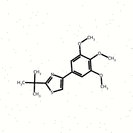 COc1cc(-c2csc(C(C)(C)C)n2)cc(OC)c1OC